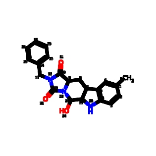 Cc1ccc2c(c1)C1CC3C(=O)N(Cc4ccccc4)C(=O)N3C(O)C1N2